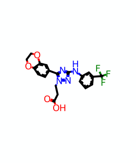 O=C(O)CCn1nc(Nc2cccc(C(F)(F)F)c2)nc1-c1ccc2c(c1)OCCO2